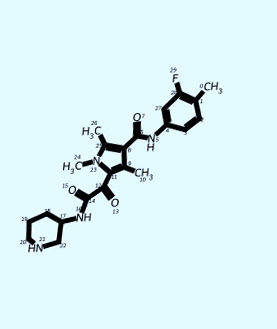 Cc1ccc(NC(=O)c2c(C)c(C(=O)C(=O)NC3CCCNC3)n(C)c2C)cc1F